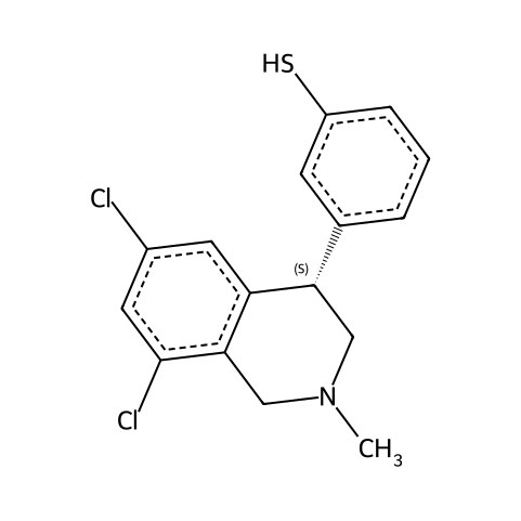 CN1Cc2c(Cl)cc(Cl)cc2[C@H](c2cccc(S)c2)C1